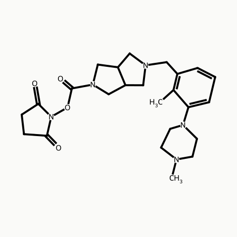 Cc1c(CN2CC3CN(C(=O)ON4C(=O)CCC4=O)CC3C2)cccc1N1CCN(C)CC1